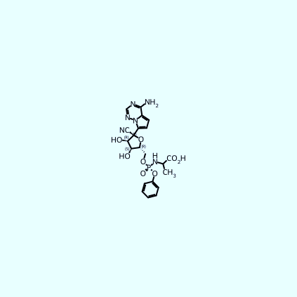 CC(NP(=O)(OC[C@H]1O[C@@](C#N)(c2ccc3c(N)ncnn23)[C@H](O)[C@@H]1O)Oc1ccccc1)C(=O)O